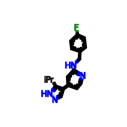 CC(C)c1[nH]ncc1-c1ccnc(NCc2ccc(F)cc2)c1